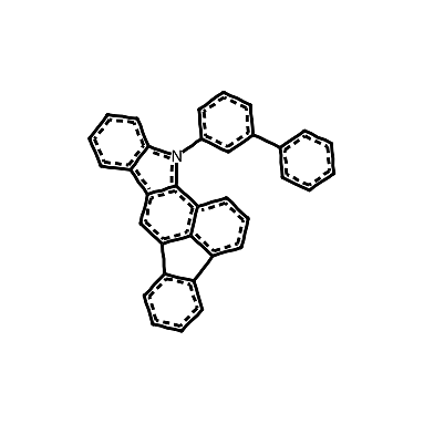 c1ccc(-c2cccc(-n3c4ccccc4c4cc5c6c(cccc6c43)-c3ccccc3-5)c2)cc1